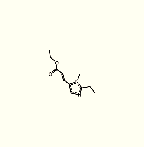 CCOC(=O)C=Cc1cnc(CC)n1C